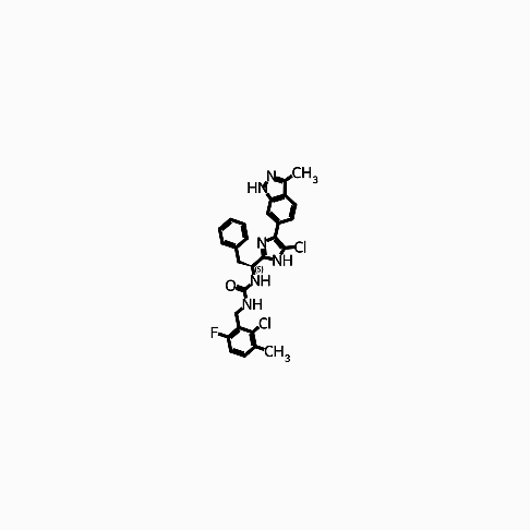 Cc1ccc(F)c(CNC(=O)N[C@@H](Cc2ccccc2)c2nc(-c3ccc4c(C)n[nH]c4c3)c(Cl)[nH]2)c1Cl